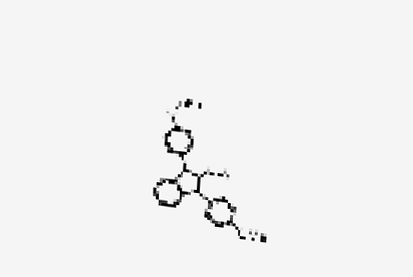 CCCCOc1ccc(C2c3ccccc3C(c3ccc(OC)cc3)C2C(=O)O)cc1